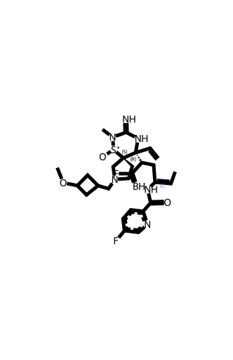 B=C(F)C(C/C(=C\C)NC(=O)c1ccc(F)cn1)[C@@]1(C=C)NC(=N)N(C)[S+]([O-])[C@]12CCN(CC1CC(OC)C1)C2